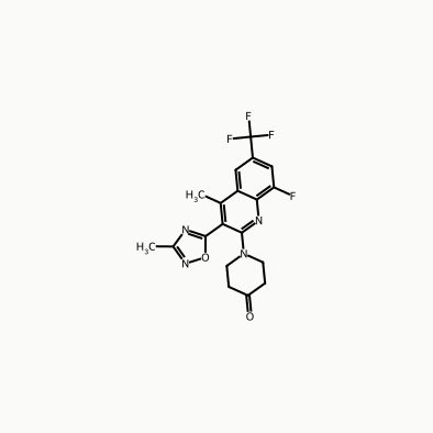 Cc1noc(-c2c(N3CCC(=O)CC3)nc3c(F)cc(C(F)(F)F)cc3c2C)n1